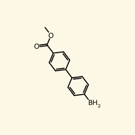 Bc1ccc(-c2ccc(C(=O)OC)cc2)cc1